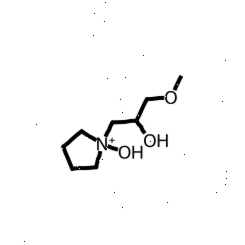 COCC(O)C[N+]1(O)CCCC1